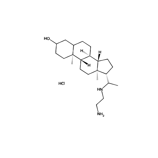 CC(NCCN)[C@H]1CC[C@H]2[C@@H]3CCC4CC(O)CC[C@]4(C)[C@H]3CC[C@]12C.Cl